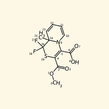 COC(=O)C1=C(C(=O)O)N2C=CC=CC2(C)C(F)(F)S1